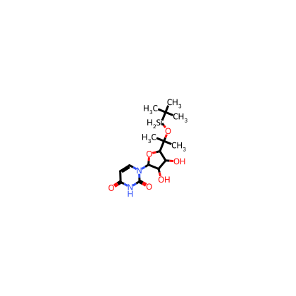 CC(C)(C)[SiH2]OC(C)(C)C1OC(n2ccc(=O)[nH]c2=O)C(O)C1O